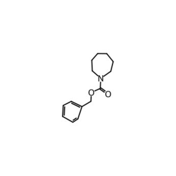 O=C(OCc1ccccc1)N1CCCCCC1